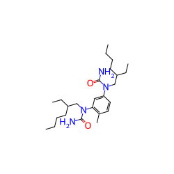 CCCCC(CC)CN(C(N)=O)c1ccc(C)c(N(CC(CC)CCCC)C(N)=O)c1